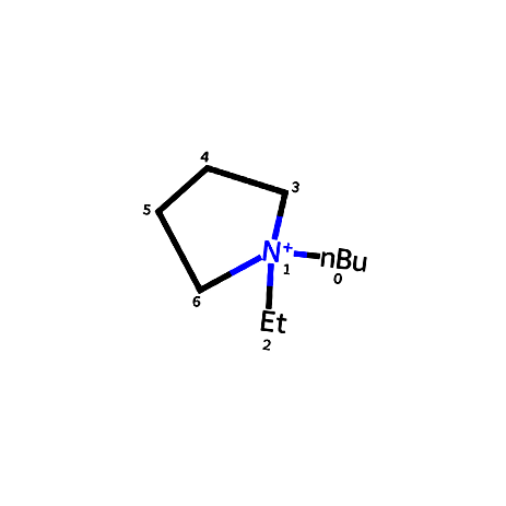 CCCC[N+]1(CC)CCCC1